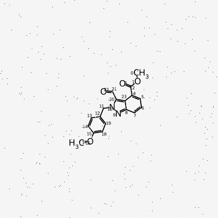 COC(=O)c1cccc2nn(Cc3ccc(OC)cc3)c(C=O)c12